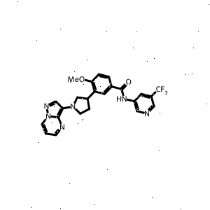 COc1ccc(C(=O)Nc2cncc(C(F)(F)F)c2)cc1C1CCN(c2cnn3cccnc23)C1